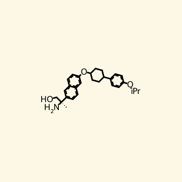 CC(C)Oc1ccc(C2CCC(Oc3ccc4cc([C@@](C)(N)CO)ccc4c3)CC2)cc1